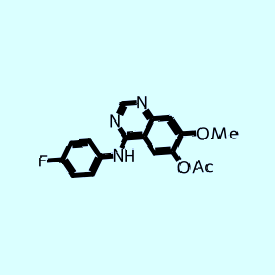 COc1cc2ncnc(Nc3ccc(F)cc3)c2cc1OC(C)=O